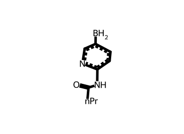 Bc1ccc(NC(=O)CCC)nc1